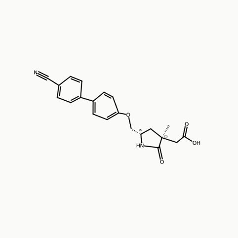 C[C@@]1(CC(=O)O)C[C@@H](COc2ccc(-c3ccc(C#N)cc3)cc2)NC1=O